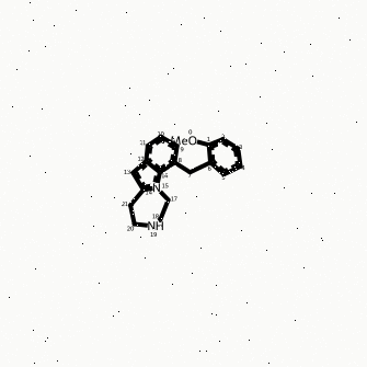 COc1ccccc1Cc1cccc2cc3n(c12)CCNCC3